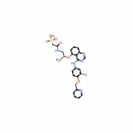 C[C@@H](CNC(=O)CS(C)(=O)=O)Oc1cccc2ncnc(Nc3ccc(OCc4ccccn4)c(Cl)c3)c12